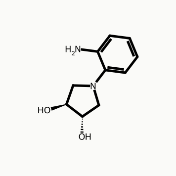 Nc1ccccc1N1C[C@H](O)[C@@H](O)C1